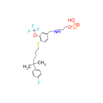 CC(C)(CCCCSc1ccc(CNCCCO[PH](=O)O)cc1OC(F)(F)F)c1ccc(F)cc1